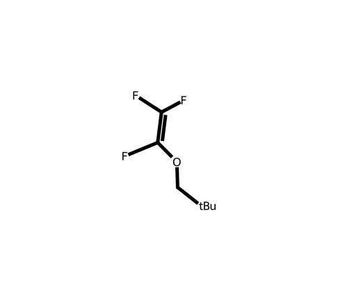 CC(C)(C)COC(F)=C(F)F